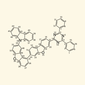 c1ccc(-c2nc(-c3ccccc3)nc(-c3ccc4c(c3)oc3cc(-c5cccc6oc7ccc(-n8c9ccccc9c9ccccc98)cc7c56)ccc34)n2)cc1